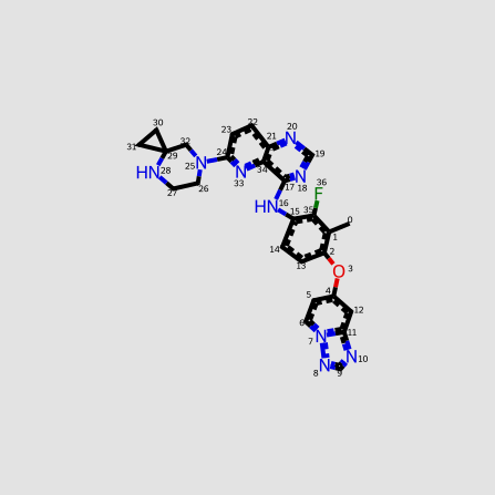 Cc1c(Oc2ccn3ncnc3c2)ccc(Nc2ncnc3ccc(N4CCNC5(CC5)C4)nc23)c1F